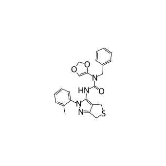 Cc1ccccc1-n1nc2c(c1NC(=O)N(Cc1ccccc1)C1=COCO1)CSC2